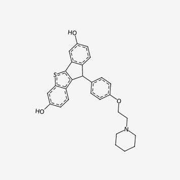 Oc1ccc2c(c1)-c1sc3cc(O)ccc3c1C2c1ccc(OCCN2CCCCC2)cc1